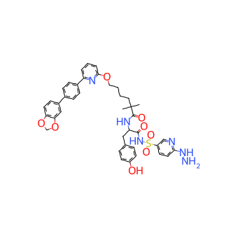 CC(C)(CCCCOc1cccc(-c2ccc(-c3ccc4c(c3)OCO4)cc2)n1)C(=O)NC(Cc1ccc(O)cc1)C(=O)NS(=O)(=O)c1ccc(NN)nc1